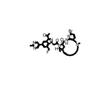 CC(=O)c1nn(CC(=O)N2[C@H]3C[C@@]4(C=CCCCCCN(C)Cc5ccc(Br)nc5NC3=O)C[C@@H]24)c2c(CF)cc(-c3cnc(C)nc3)cc12